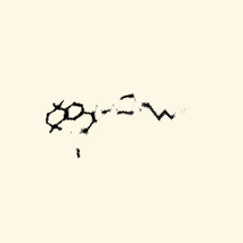 CCOC(=O)c1sc(N2CCN(CCCCO)CC2)nc1-c1ccc2c(c1)C(C)(C)CCC2(C)C